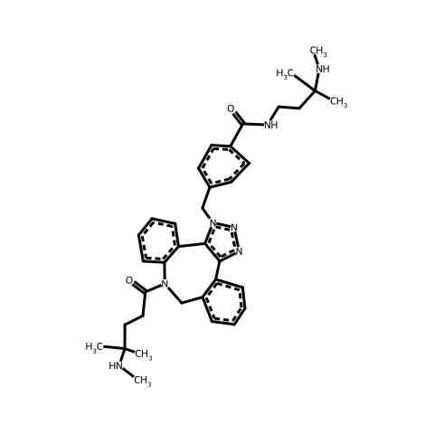 CNC(C)(C)CCNC(=O)c1ccc(Cn2nnc3c2-c2ccccc2N(C(=O)CCC(C)(C)NC)Cc2ccccc2-3)cc1